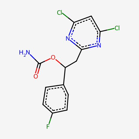 NC(=O)OC(Cc1nc(Cl)cc(Cl)n1)c1ccc(F)cc1